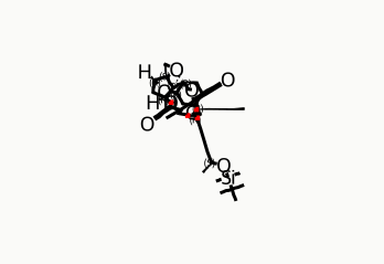 CC1CC[C@@]23COC(=O)C[C@H](C)CCO[C@@H]([C@H](C)O[Si](C)(C)C(C)(C)C)CCCCC(=O)O[C@@H]4C[C@@H](O[C@@H]2C1)[C@@]1(CO1)[C@]43C